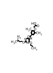 CCCOc1nc(OCCC(C)C)nc2oc(-c3cc(C)c(OCC(=O)O)c(C)c3)nc12